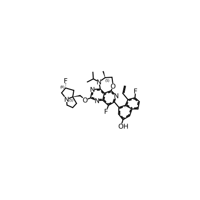 C=Cc1c(F)ccc2cc(O)cc(-c3nc4c5c(nc(OC[C@@]67CCCN6C[C@H](F)C7)nc5c3F)N(C(C)C)[C@@H](C)CO4)c12